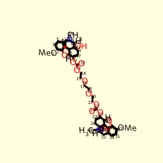 COc1ccc2c3c1O[C@H]1C(OC(=O)OCCOCCOCCOC(=O)OC4=CC[C@@]5(O)[C@H]6Cc7ccc(OC)c8c7[C@@]5(CCN6C)[C@H]4O8)=CC[C@@]4(O)[C@@H](C2)N(C)CCC314